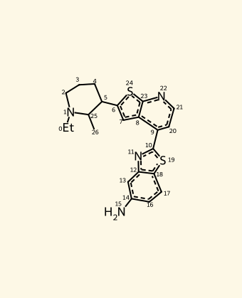 CCN1CCCC(c2cc3c(-c4nc5cc(N)ccc5s4)ccnc3s2)C1C